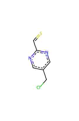 S=Cc1ncc(CCl)cn1